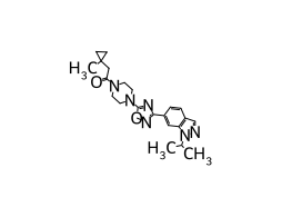 CC(C)n1ncc2ccc(-c3noc(N4CCN(C(=O)CC5(C)CC5)CC4)n3)cc21